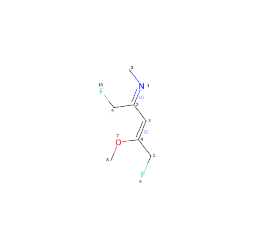 C/N=C(/C=C(/CF)OC)CF